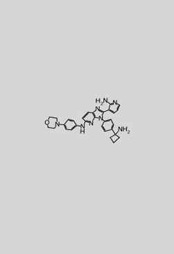 Nc1ncccc1-c1nc2ccc(Nc3ccc(N4CCOCC4)cc3)nc2n1-c1ccc(C2(N)CCC2)cc1